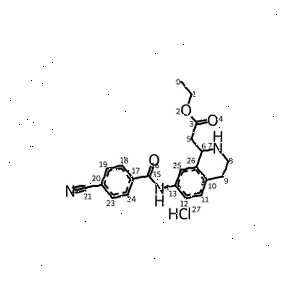 CCOC(=O)CC1NCCc2ccc(NC(=O)c3ccc(C#N)cc3)cc21.Cl